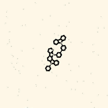 c1ccc(-n2c3ccccc3c3c2ccc2c4cccnc4n(-c4cccc(-c5cccc(-n6c7ccccc7c7ccccc76)c5)c4)c23)cc1